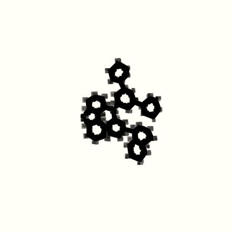 c1ccc(-c2cc(-c3ccccc3)cc(N(c3cccc(-c4cccc5ccccc45)c3)c3cccc4sc5ccccc5c34)c2)cc1